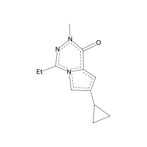 CCc1nn(C)c(=O)c2cc(C3CC3)cn12